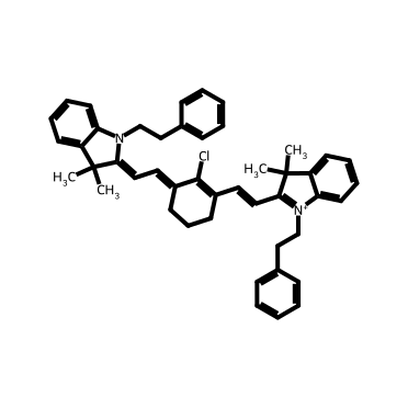 CC1(C)C(=CC=C2CCCC(C=CC3=[N+](CCc4ccccc4)c4ccccc4C3(C)C)=C2Cl)N(CCc2ccccc2)c2ccccc21